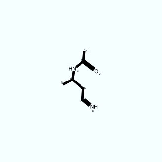 [CH2]C(=O)NC(C)CC=N